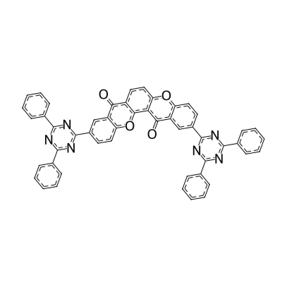 O=c1c2cc(-c3nc(-c4ccccc4)nc(-c4ccccc4)n3)ccc2oc2c1ccc1oc3ccc(-c4nc(-c5ccccc5)nc(-c5ccccc5)n4)cc3c(=O)c12